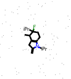 C=C1CC2=C(CCC(F)(C(C)C)C2C)N1C(C)C